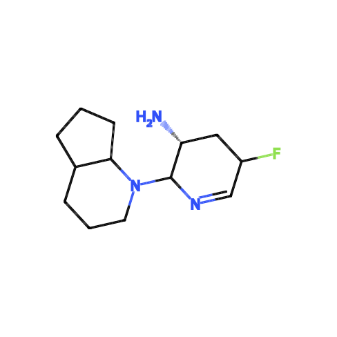 N[C@@H]1CC(F)C=NC1N1CCCC2CCCC21